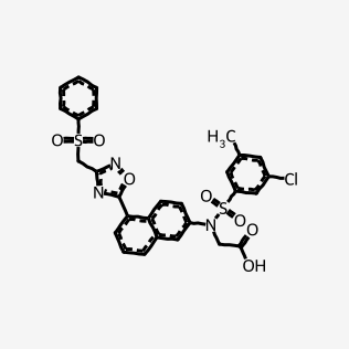 Cc1cc(Cl)cc(S(=O)(=O)N(CC(=O)O)c2ccc3c(-c4nc(CS(=O)(=O)c5ccccc5)no4)cccc3c2)c1